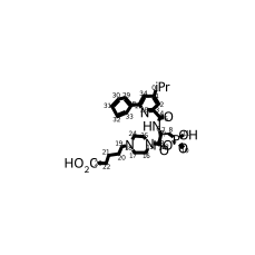 CC(C)c1cc(C(=O)N[C@@H](CP(=O)(O)O)C(=O)N2CCN(CCCCC(=O)O)CC2)nc(-c2ccccc2)c1